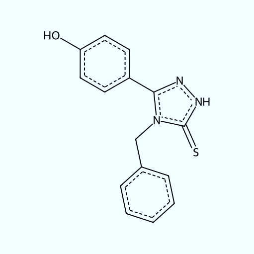 Oc1ccc(-c2n[nH]c(=S)n2Cc2ccccc2)cc1